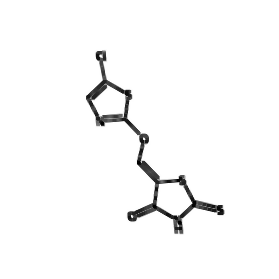 O=C1NC(=S)SC1=COc1ncc(Cl)s1